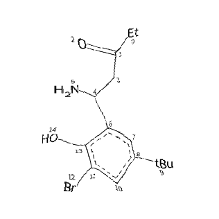 CCC(=O)CC(N)c1cc(C(C)(C)C)cc(Br)c1O